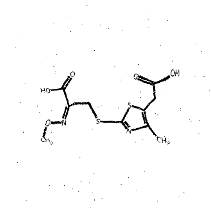 CON=C(CSc1nc(C)c(CC(=O)O)s1)C(=O)O